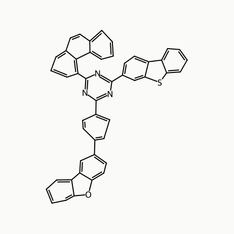 c1ccc2c(c1)ccc1cccc(-c3nc(-c4ccc(-c5ccc6oc7ccccc7c6c5)cc4)nc(-c4ccc5c(c4)sc4ccccc45)n3)c12